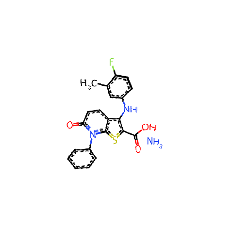 Cc1cc(Nc2c(C(=O)O)sc3c2ccc(=O)n3-c2ccccc2)ccc1F.N